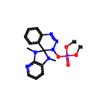 CCOP(=O)(OCC)ON1N=Nc2ccccc2C12N(C)c1cccnc1N2C